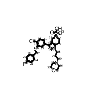 CS(=O)(=O)N1CCc2c(c(-c3ccc(Cl)c(SCc4ccc(F)cc4)c3)nn2CCCN2CCOCC2)C1